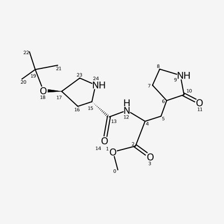 COC(=O)C(CC1CCNC1=O)NC(=O)[C@@H]1C[C@@H](OC(C)(C)C)CN1